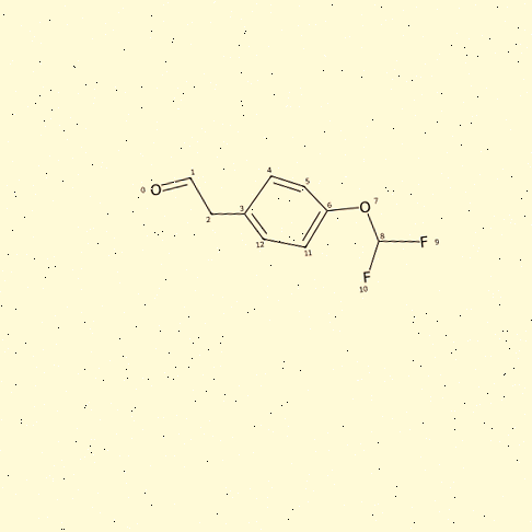 O=CCc1ccc(OC(F)F)cc1